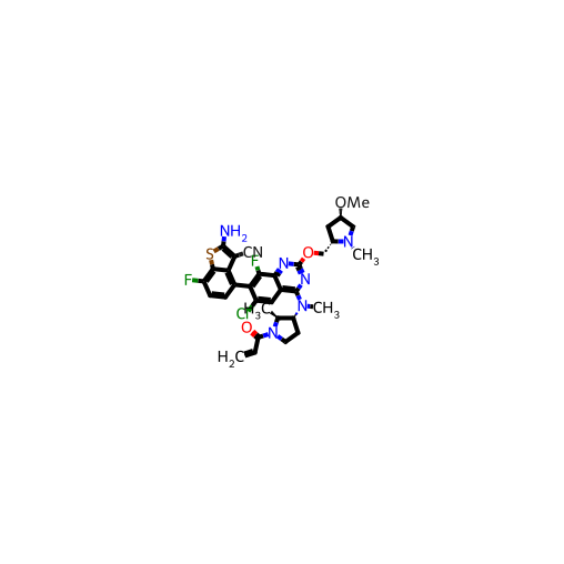 C=CC(=O)N1CC[C@@H](N(C)c2nc(OC[C@@H]3C[C@@H](OC)CN3C)nc3c(F)c(-c4ccc(F)c5sc(N)c(C#N)c45)c(Cl)cc23)[C@@H]1C